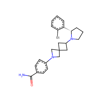 CCc1ccccc1[C@@H]1CCCN1C1CC2(C1)CN(c1ccc(C(N)=O)cc1)C2